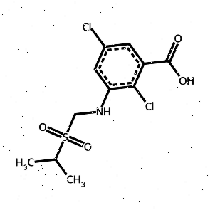 CC(C)S(=O)(=O)CNc1cc(Cl)cc(C(=O)O)c1Cl